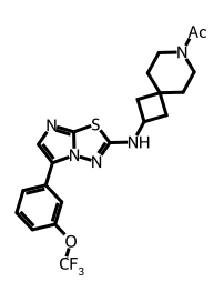 CC(=O)N1CCC2(CC1)CC(Nc1nn3c(-c4cccc(OC(F)(F)F)c4)cnc3s1)C2